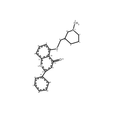 CN1CCCC(COc2cccc3oc(-c4ccccc4)cc(=O)c23)C1